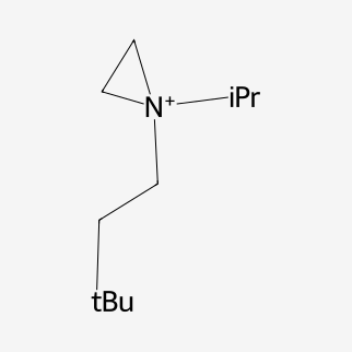 CC(C)[N+]1(CCC(C)(C)C)CC1